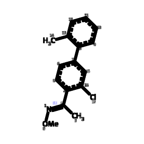 CO/N=C(\C)c1ccc(-c2ccccc2C)cc1Cl